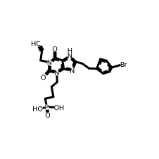 C#CCn1c(=O)c2[nH]c(CCc3ccc(Br)cc3)nc2n(CCCCP(=O)(O)O)c1=O